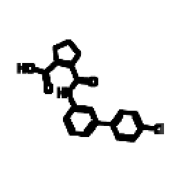 O=C(O)C1=C(C(=O)Nc2cccc(-c3ccc(Cl)cc3)c2)CCC1